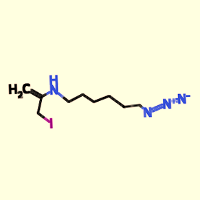 C=C(CI)NCCCCCCN=[N+]=[N-]